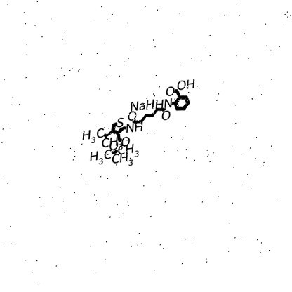 CC(C)c1csc(NC(=O)CCCCC(=O)Nc2ccccc2C(=O)O)c1C(=O)OC(C)(C)C.[NaH]